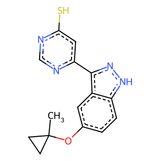 CC1(Oc2ccc3[nH]nc(-c4cc(S)ncn4)c3c2)CC1